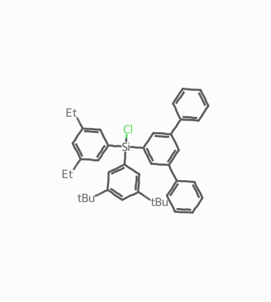 CCc1cc(CC)cc([Si](Cl)(c2cc(-c3ccccc3)cc(-c3ccccc3)c2)c2cc(C(C)(C)C)cc(C(C)(C)C)c2)c1